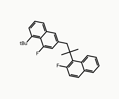 CC(C)(C)c1cccc2cc(CC(C)(C)c3c(F)ccc4ccccc34)cc(F)c12